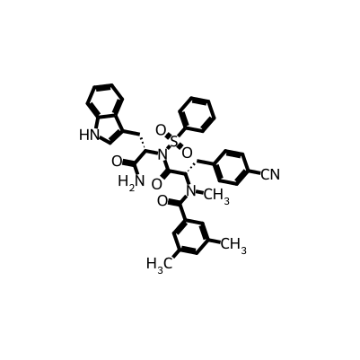 Cc1cc(C)cc(C(=O)N(C)[C@@H](Cc2ccc(C#N)cc2)C(=O)N([C@@H](Cc2c[nH]c3ccccc23)C(N)=O)S(=O)(=O)c2ccccc2)c1